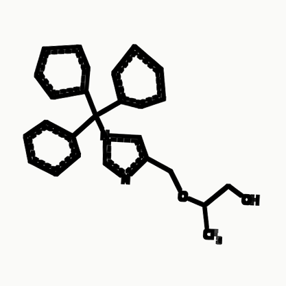 OCC(OCc1cn(C(c2ccccc2)(c2ccccc2)c2ccccc2)cn1)C(F)(F)F